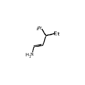 CCC(C=CN)C(C)C